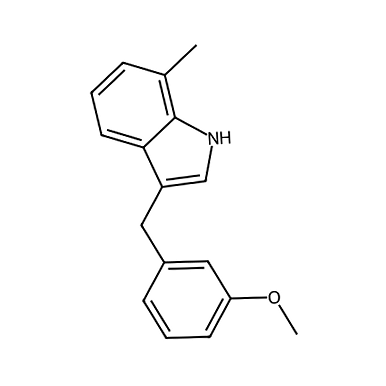 COc1cccc(Cc2c[nH]c3c(C)cccc23)c1